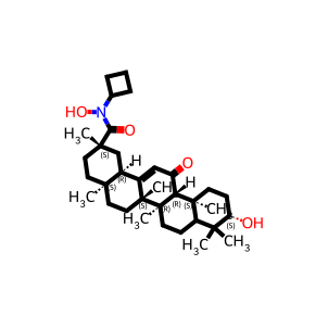 CC1(C)C2CC[C@]3(C)[C@H](C(=O)C=C4[C@@H]5C[C@@](C)(C(=O)N(O)C6CCC6)CC[C@]5(C)CC[C@]43C)[C@@]2(C)CC[C@@H]1O